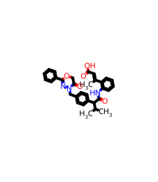 C/C(=C\C(=O)O)c1ccccc1NC(=O)C(c1ccc(CN2N=C(c3ccccc3)OCC2=O)cc1)C(C)C